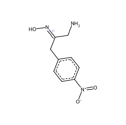 NC/C(Cc1ccc([N+](=O)[O-])cc1)=N/O